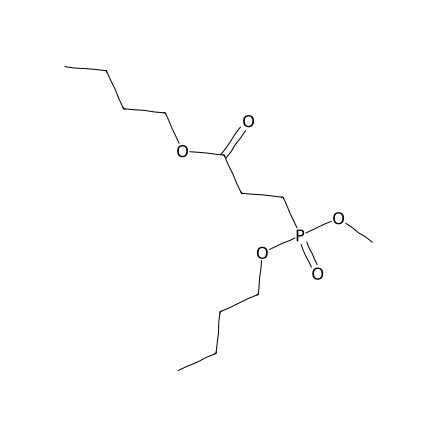 CCCCOC(=O)CCP(=O)(OC)OCCCC